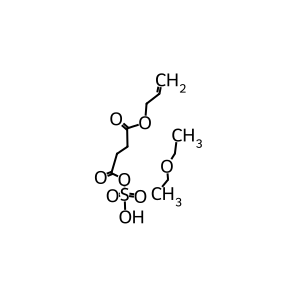 C=CCOC(=O)CCC(=O)OS(=O)(=O)O.CCOCC